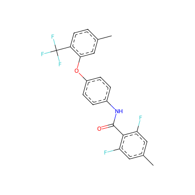 Cc1cc(F)c(C(=O)Nc2ccc(Oc3cc(C)ccc3C(F)(F)F)cc2)c(F)c1